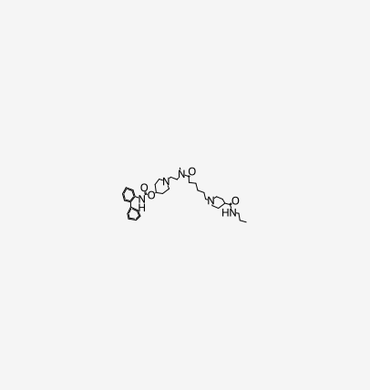 CCCNC(=O)C1CCN(CCCCCC(=O)N(C)CCN2CCC(OC(=O)Nc3ccccc3-c3ccccc3)CC2)CC1